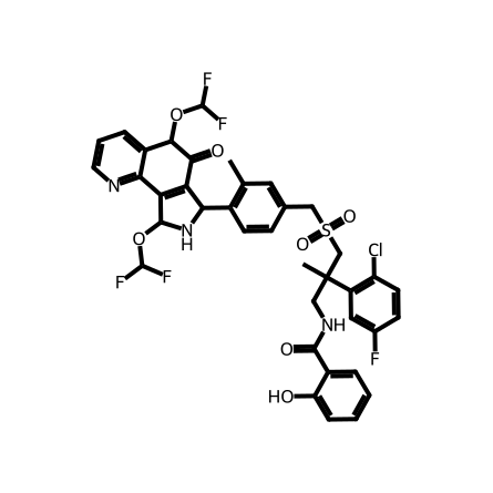 Cc1cc(CS(=O)(=O)CC(C)(CNC(=O)c2ccccc2O)c2cc(F)ccc2Cl)ccc1C1NC(OC(F)F)C2=C1C(=O)C(OC(F)F)c1cccnc12